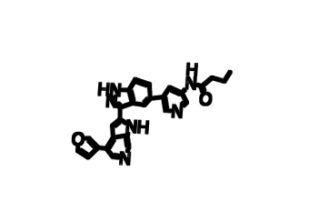 CCCC(=O)Nc1cncc(-c2ccc3[nH]nc(-c4cc5c(-c6ccoc6)cncc5[nH]4)c3c2)c1